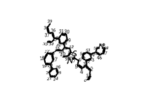 C#C/C=C(\C=C/Cc1nc(C)c(/C=C(\C=C\c2cccc(-c3ccccc3)c2)c2cccc(/C(C=C)=C/C=C\C)c2)s1)C1=CC(c2cccnc2)=C=C=C1